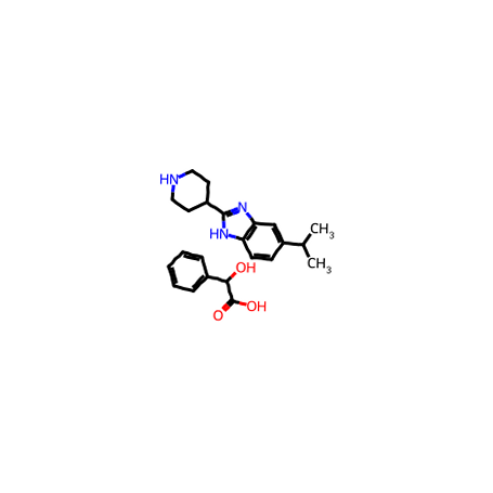 CC(C)c1ccc2[nH]c(C3CCNCC3)nc2c1.O=C(O)C(O)c1ccccc1